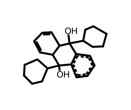 OC1(C2CCCCC2)c2ccccc2C(O)(C2CCCCC2)C2C=CC=CC21